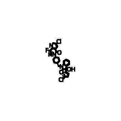 O=C(N[C@H]1CC[C@H](CN2C(=O)C(O)(c3ccc(Cl)s3)c3ccccc32)CC1)c1cc(Cl)cnc1C(F)F